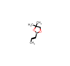 C/C=C/B1OCC(C)(C)O1